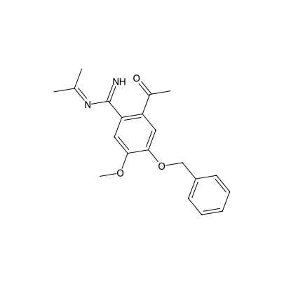 COc1cc(C(=N)N=C(C)C)c(C(C)=O)cc1OCc1ccccc1